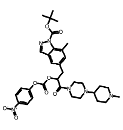 Cc1cc(CC(OC(=O)Oc2ccc([N+](=O)[O-])cc2)C(=O)N2CCN(C3CCN(C)CC3)CC2)cc2cnn(C(=O)OC(C)(C)C)c12